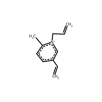 C=CC[n+]1cc(C=C)ccc1C